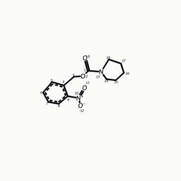 O=C(OCc1ccccc1[N+](=O)[O-])N1CCCCC1